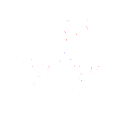 CC1(C)OC[C@@H](OCOC[C@H](OCO[C@@H]2COC(C)(C)O2)OCN2CCN(CO[C@H](COCO[C@@H]3COC(C)(C)O3)OCO[C@@H]3COC(C)(C)O3)CCN(CO[C@H](COCO[C@@H]3COC(C)(C)O3)OCO[C@@H]3COC(C)(C)O3)CC2)O1